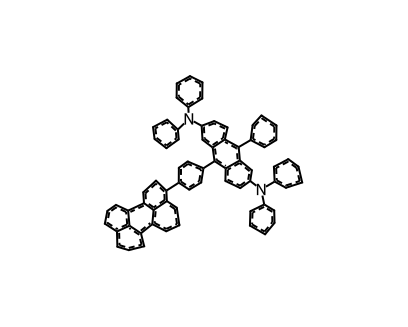 c1ccc(-c2c3ccc(N(c4ccccc4)c4ccccc4)cc3c(-c3ccc(-c4ccc5c6cccc7cccc(c8cccc4c85)c76)cc3)c3ccc(N(c4ccccc4)c4ccccc4)cc23)cc1